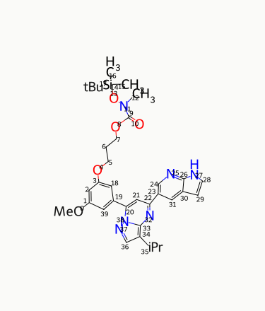 COc1cc(OCCCOC(=O)N(C)O[Si](C)(C)C(C)(C)C)cc(-c2cc(-c3cnc4[nH]ccc4c3)nc3c(C(C)C)cnn23)c1